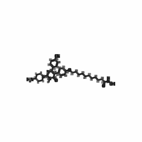 Cn1c(N2CCC(N)CC2)nc(-c2ccc(C#N)cc2)c(-c2ccc(OCCCCCCCCCCC(=O)NO)cc2)c1=O